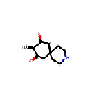 C=C1C(=O)CC2(CCNCC2)CC1=O